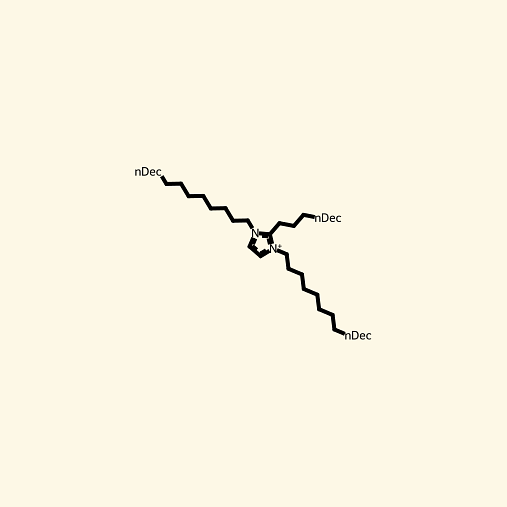 CCCCCCCCCCCCCCCCCCn1cc[n+](CCCCCCCCCCCCCCCCCC)c1CCCCCCCCCCCCC